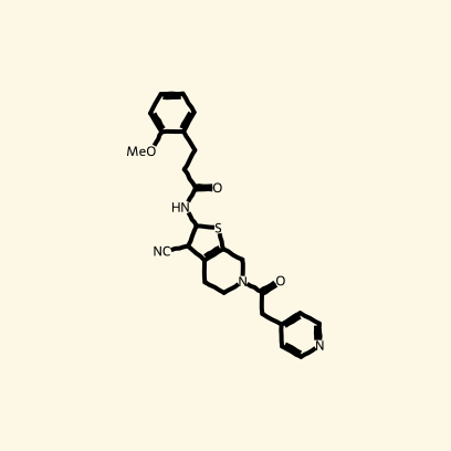 COc1ccccc1CCC(=O)NC1SC2=C(CCN(C(=O)Cc3ccncc3)C2)C1C#N